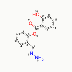 NN=Cc1ccccc1OC(=O)c1ccccc1O